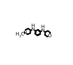 CN1CCC(Nc2cc[c]c(NC3CCOCC3)c2)CC1